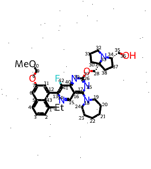 CCc1cccc2cc(OCOC)cc(-c3ncc4c(N5CCCCCC5)nc(OC[C@]56CCCN5[C@H](CO)CC6)nc4c3F)c12